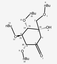 CCCCOC[C@@]1(O)CC(=O)[C@H](OCCCC)[C@@H](OCCCC)[C@@H]1OCCCC